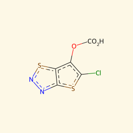 O=C(O)Oc1c(Cl)sc2nnsc12